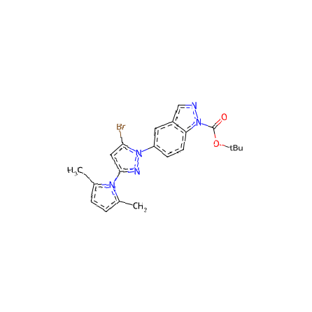 Cc1ccc(C)n1-c1cc(Br)n(-c2ccc3c(cnn3C(=O)OC(C)(C)C)c2)n1